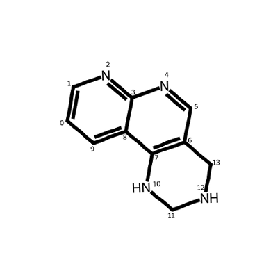 c1cnc2ncc3c(c2c1)NCNC3